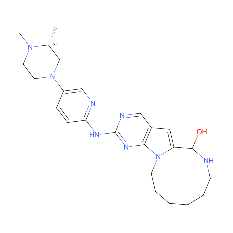 C[C@@H]1CN(c2ccc(Nc3ncc4cc5n(c4n3)CCCCCCNC5O)nc2)CCN1C